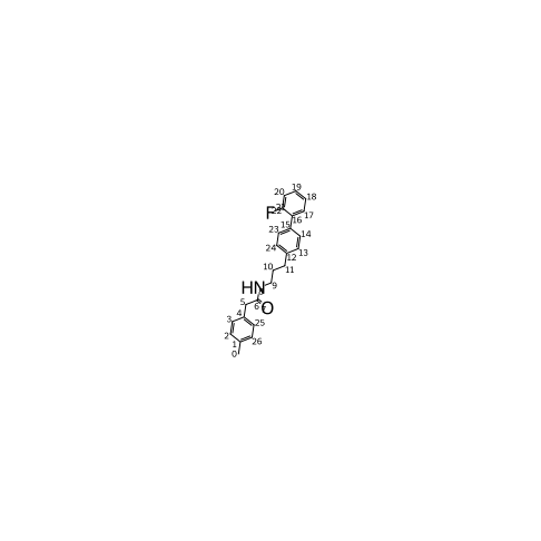 Cc1ccc(CC(=O)NCCCc2ccc(-c3ccccc3F)cc2)cc1